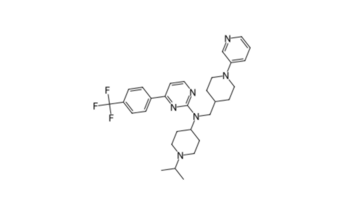 CC(C)N1CCC(N(CC2CCN(c3cccnc3)CC2)c2nccc(-c3ccc(C(F)(F)F)cc3)n2)CC1